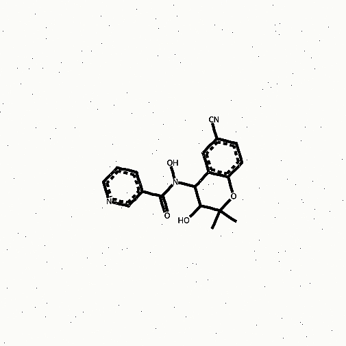 CC1(C)Oc2ccc(C#N)cc2C(N(O)C(=O)c2cccnc2)C1O